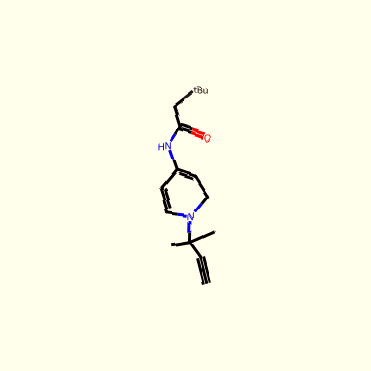 C#CC(C)(C)N1C=CC(NC(=O)CC(C)(C)C)=CC1